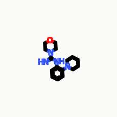 N=C(Nc1ccccc1N1CCCCC1)N1CCOCC1